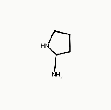 NC1CCCN1